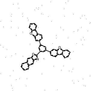 c1ccc2cc3oc(-c4cc(-c5ccc6c(c5)oc5ccccc56)cc(-c5ccc6c(c5)oc5ccccc56)c4)nc3cc2c1